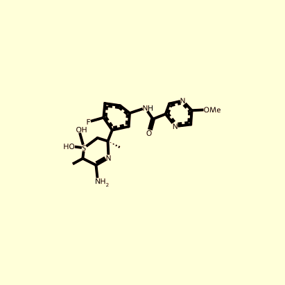 COc1cnc(C(=O)Nc2ccc(F)c([C@]3(C)CS(O)(O)C(C)C(N)=N3)c2)cn1